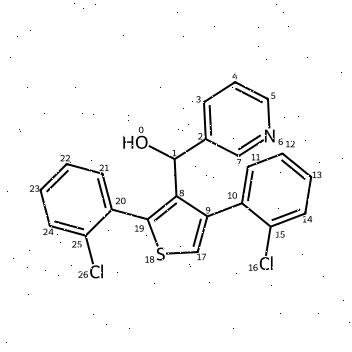 OC(c1cccnc1)c1c(-c2ccccc2Cl)csc1-c1ccccc1Cl